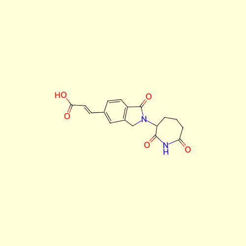 O=C(O)/C=C/c1ccc2c(c1)CN(C1CCCC(=O)NC1=O)C2=O